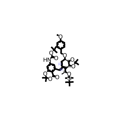 COc1ccc(COC(/C=C\[C@@H](C)[C@H](C)O[Si](C)(C)C(C)(C)C)[C@H]2OC(C)(C)O[C@H]2C/C=C/c2cc(NC(=O)OC(C)(C)C)cc3c2C(=O)OC(C)(C)O3)cc1